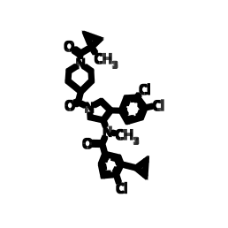 CN(C(=O)c1ccc(Cl)c(C2CC2)c1)C1CN(C(=O)C2CCN(C(=O)C3(C)CC3)CC2)CC1c1ccc(Cl)c(Cl)c1